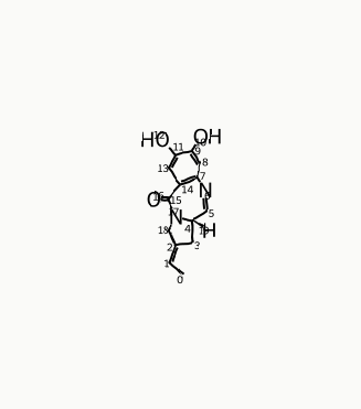 C/C=C1\C[C@H]2C=Nc3cc(O)c(O)cc3C(=O)N2C1